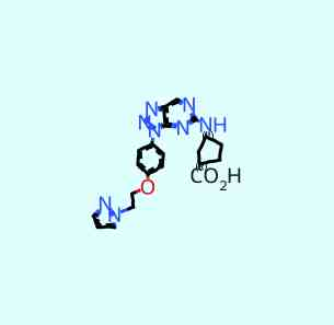 O=C(O)[C@@H]1CC[C@@H](Nc2ncc3nnn(-c4ccc(OCCn5cccn5)cc4)c3n2)C1